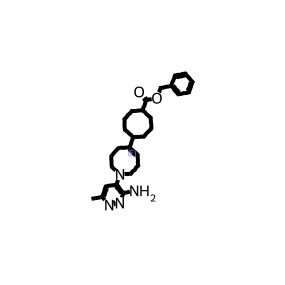 Cc1cc(N2CC/C=C(/C3CCCC(C(=O)OCc4ccccc4)CCC3)CCC2)c(N)nn1